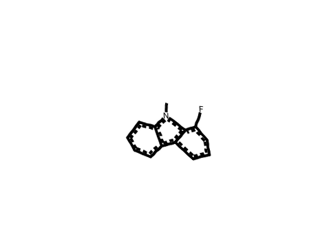 Cn1c2ccccc2c2cccc(F)c21